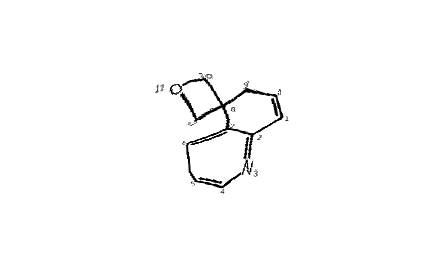 C1=Cc2ncccc2C2(C1)COC2